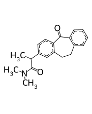 CC(C(=O)N(C)C)c1ccc2c(c1)CCc1ccccc1C2=O